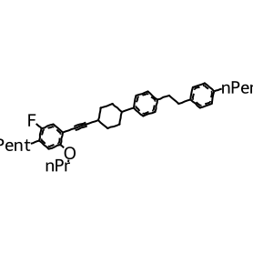 CCCCCc1ccc(CCc2ccc(C3CCC(C#Cc4cc(F)c(CCCCC)cc4OCCC)CC3)cc2)cc1